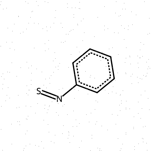 S=Nc1ccccc1